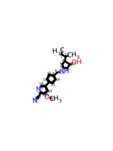 CCC(C)C1CC(NCc2ccc(-c3cnc(C#N)c(OC)c3)cc2)CC1O